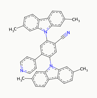 Cc1ccc2c3ccc(C)cc3n(-c3cc(-c4ccncc4)c(-n4c5cc(C)ccc5c5ccc(C)cc54)cc3C#N)c2c1